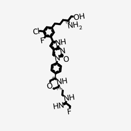 N=C(CF)NCC[C@@H]1COC[C@@H](c2ccc(-n3cc4cc(-c5cc(CCC[C@@H](N)CO)cc(Cl)c5F)[nH]c4nc3=O)cc2)N1